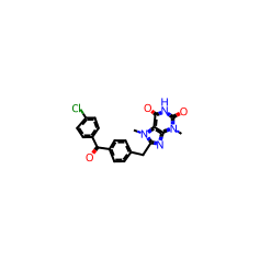 Cn1c(Cc2ccc(C(=O)c3ccc(Cl)cc3)cc2)nc2c1c(=O)[nH]c(=O)n2C